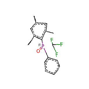 Cc1cc(C)c([P@@](=O)(c2ccccc2)C(F)(F)F)c(C)c1